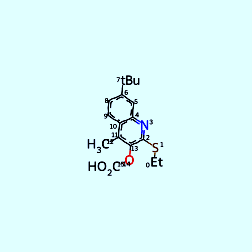 CCSc1nc2cc(C(C)(C)C)ccc2c(C)c1OC(=O)O